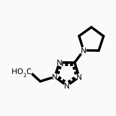 O=C(O)Cn1nnc(N2CCCC2)n1